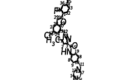 Cc1cc(C(=O)Nc2ccc(CN3CCNCC3)cc2)nn1Cc1cc(Cl)cc2cc(-c3ccc(F)cc3F)oc12